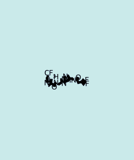 O=C(CC1CC(F)(F)C1)NCc1cnn2cc(CNC(=O)c3cnn(CCC(F)(F)F)c3)nc2c1